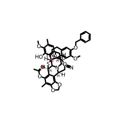 COc1cc2c(cc1OCc1ccccc1)CCN[C@]21CS[C@@H]2c3c(OC(C)=O)c(C)c4c(c3[C@H](COC1=O)N1C2[C@@H]2c3c(cc(C)c(OC)c3O)C[C@@H]([C@@H]1C#N)N2C)OCO4